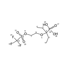 CCC(CC)(OCCOS(=O)(=O)C(F)(F)F)P(=O)(O)O